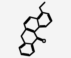 CCc1cccc2c3c(ccc12)Cc1ccccc1C3=O